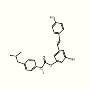 CC(C)Cc1ccc([C@@H](C)C(=O)Oc2cc(O)cc(/C=C/c3ccc(O)cc3)c2)cc1